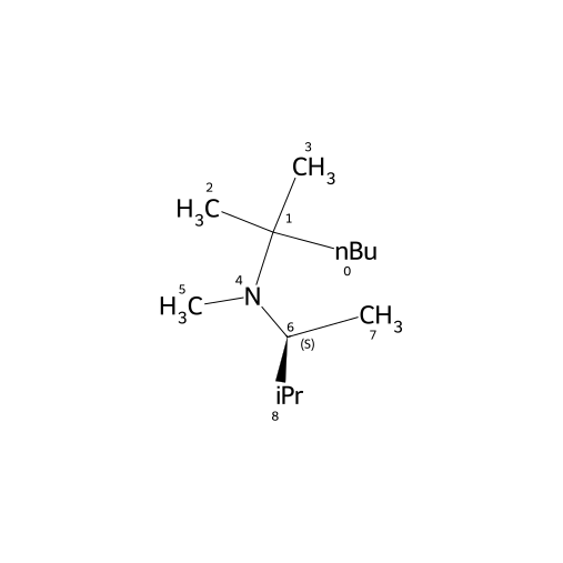 CCCCC(C)(C)N(C)[C@@H](C)C(C)C